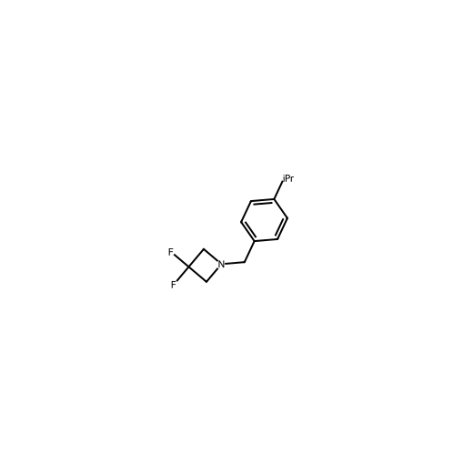 CC(C)c1ccc(CN2CC(F)(F)C2)cc1